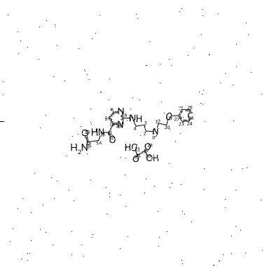 CN(CCCNc1nccc(C(=O)NCC(N)=O)n1)CCOc1ccccc1.O=C(O)C(=O)O